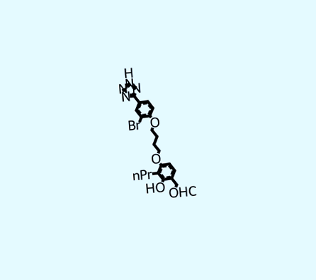 CCCc1c(OCCCCOc2ccc(-c3nn[nH]n3)cc2Br)ccc(CC=O)c1O